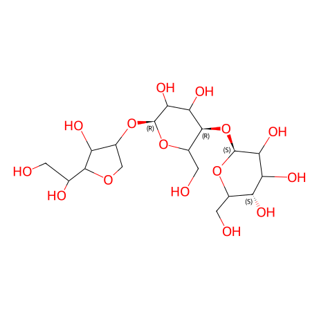 OCC(O)C1OCC(O[C@@H]2OC(CO)[C@H](O[C@@H]3OC(CO)[C@@H](O)C(O)C3O)C(O)C2O)C1O